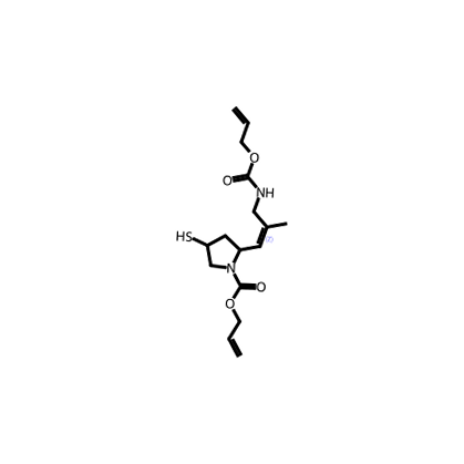 C=CCOC(=O)NC/C(C)=C\C1CC(S)CN1C(=O)OCC=C